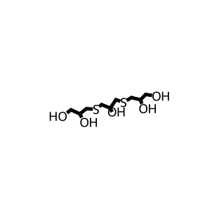 OCC(O)CSCC(O)CSCC(O)CO